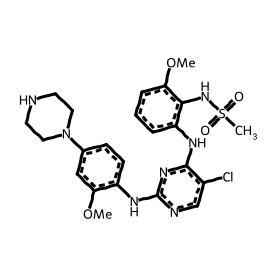 COc1cc(N2CCNCC2)ccc1Nc1ncc(Cl)c(Nc2cccc(OC)c2NS(C)(=O)=O)n1